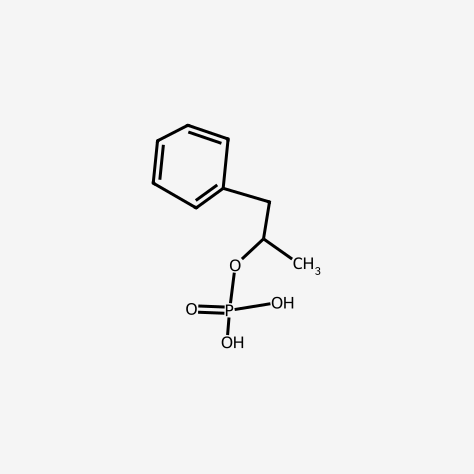 CC(Cc1ccccc1)OP(=O)(O)O